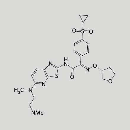 CNCCN(C)c1ccc2nc(NC(=O)/C(=N/O[C@@H]3CCOC3)c3ccc(S(=O)(=O)C4CC4)cc3)sc2n1